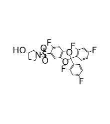 O=S(=O)(c1cc2c(cc1F)OC(c1ccc(F)cc1F)(c1ccc(F)cc1F)O2)N1CC[C@H](O)C1